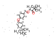 CCC(C)(C)c1ccc(Oc2ccc(COCC(=O)C(C)(C)C)cc2)cc1